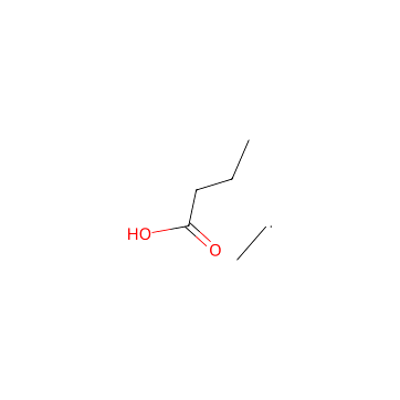 CCCC(=O)O.[CH2]C